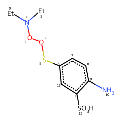 CCN(CC)OOSc1ccc(N)c(S(=O)(=O)O)c1